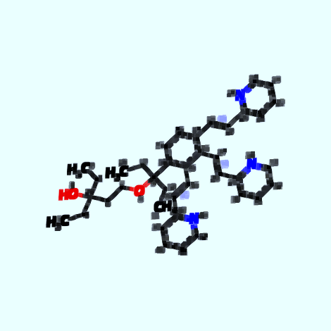 CCC(O)(CC)CCOC(CC)(CC)c1ccc(/C=C/c2ccccn2)c(/C=C/c2ccccn2)c1/C=C/c1ccccn1